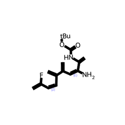 C=C(F)/C=C\C(=C)C(=C)/C=C(/N)C(=C)NC(=O)OC(C)(C)C